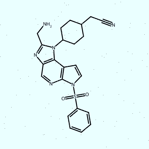 N#CCC1CCC(n2c(CN)nc3cnc4c(ccn4S(=O)(=O)c4ccccc4)c32)CC1